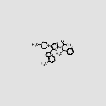 CC(=O)N(c1ncc(N2CCN(C)CC2)c(-c2cnc3c(C)cccn23)n1)[C@@H](C)c1ccccc1